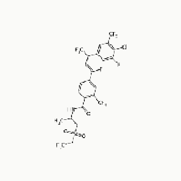 CC(CS(=O)(=O)CC(F)(F)F)NC(=O)c1ccc(/C(F)=C/C(c2cc(F)c(Cl)c(C(F)(F)F)c2)C(F)(F)F)cc1C(F)(F)F